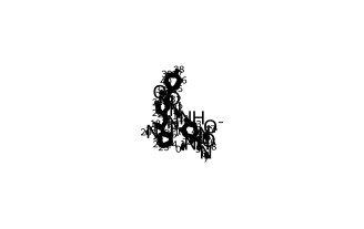 CCNC1(CCN(C)C)C=C(F)C(Nc2nc(-c3cn(C)c4ccccc34)c3ccn(S(=O)(=O)c4ccc(C)cc4)c3n2)=CC1[N+](=O)[O-]